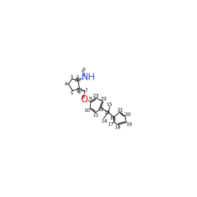 CN[C@@H]1CCC[C@@H]1COc1ccc(C(C)(C)c2ccccc2)cc1